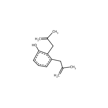 C=C(C)Cc1cccc(O)c1CC(=C)C